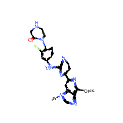 COc1nc(-c2ccnc(Nc3ccc(N4CCNCC4=O)c(F)c3)n2)cc2c1ncn2C(C)C